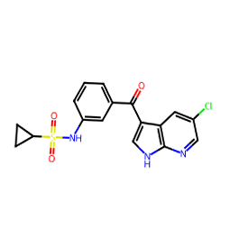 O=C(c1cccc(NS(=O)(=O)C2CC2)c1)c1c[nH]c2ncc(Cl)cc12